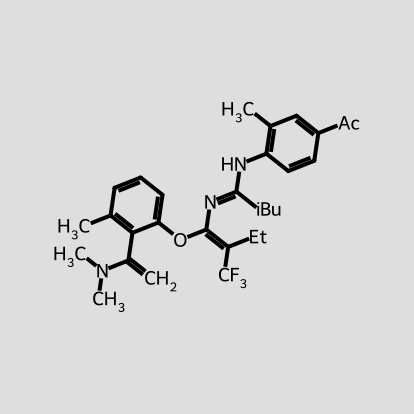 C=C(c1c(C)cccc1OC(/N=C(/Nc1ccc(C(C)=O)cc1C)C(C)CC)=C(/CC)C(F)(F)F)N(C)C